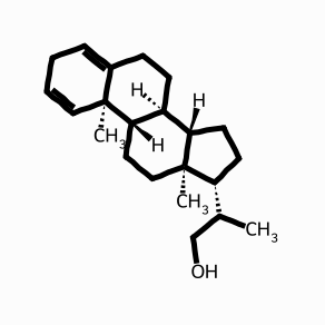 CC(CO)[C@H]1CC[C@H]2[C@@H]3CCC4=CCC=C[C@]4(C)[C@H]3CC[C@]12C